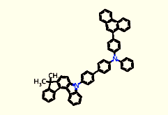 CC1(C)c2ccccc2-c2c1ccc1c2c2ccccc2n1-c1ccc(-c2ccc(N(c3ccccc3)c3ccc(-c4cc5ccccc5c5ccccc45)cc3)cc2)cc1